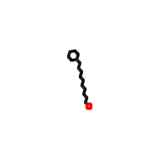 O=CCCCCCCCCCC1CCCCC1